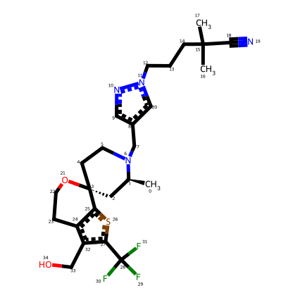 C[C@H]1C[C@@]2(CCN1Cc1cnn(CCCC(C)(C)C#N)c1)OCCc1c2sc(C(F)(F)F)c1CO